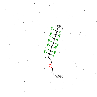 CCCCCCCCCCCCOCCC(F)(F)C(F)(F)C(F)(F)C(F)(F)C(F)(F)C(F)(F)C(F)(F)C(F)(F)F